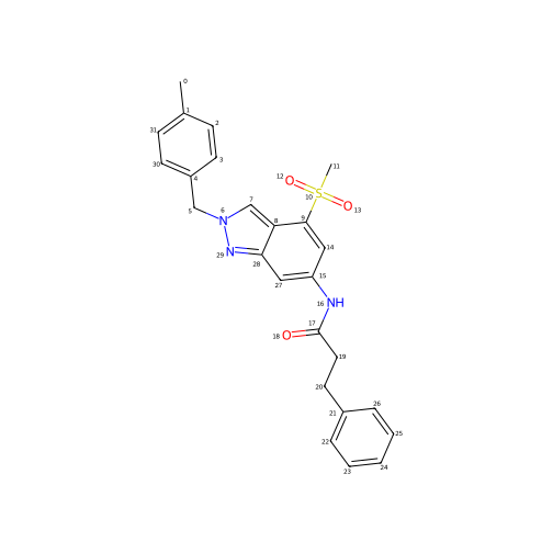 Cc1ccc(Cn2cc3c(S(C)(=O)=O)cc(NC(=O)CCc4ccccc4)cc3n2)cc1